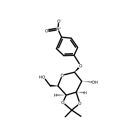 CC1(C)O[C@@H]2[C@@H](O)[C@H](Oc3ccc([N+](=O)[O-])cc3)O[C@H](CO)[C@@H]2O1